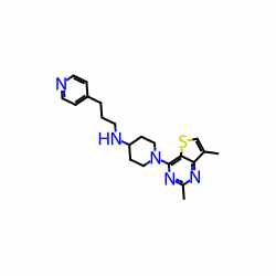 Cc1nc(N2CCC(NCCCc3ccncc3)CC2)c2scc(C)c2n1